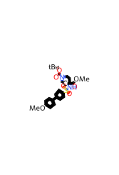 COC(=O)C1(NS(=O)(=O)c2ccc(-c3ccc(OC)cc3)cc2)CCN(C(=O)OC(C)(C)C)CC1